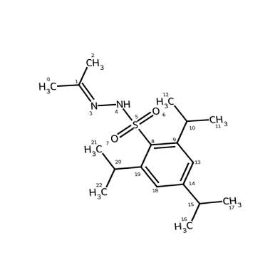 CC(C)=NNS(=O)(=O)c1c(C(C)C)cc(C(C)C)cc1C(C)C